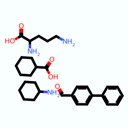 NC1CCCCC1.NCCCC(N)C(=O)O.O=C(O)C1CCCCC1.O=Cc1ccc(-c2ccccc2)cc1